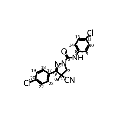 CC1(C#N)CN(C(=O)Nc2ccc(Cl)cc2)N=C1c1ccc(Cl)cc1